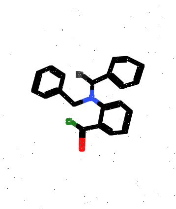 CCC(c1ccccc1)N(Cc1ccccc1)c1ccccc1C(=O)Cl